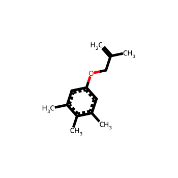 C=C(C)COc1cc(C)c(C)c(C)c1